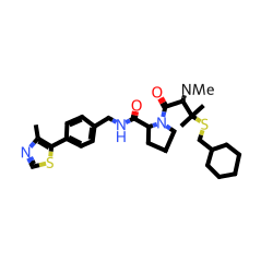 CNC(C(=O)N1CCCC1C(=O)NCc1ccc(-c2scnc2C)cc1)C(C)(C)SCC1CCCCC1